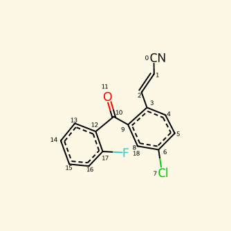 N#C/C=C/c1ccc(Cl)cc1C(=O)c1ccccc1F